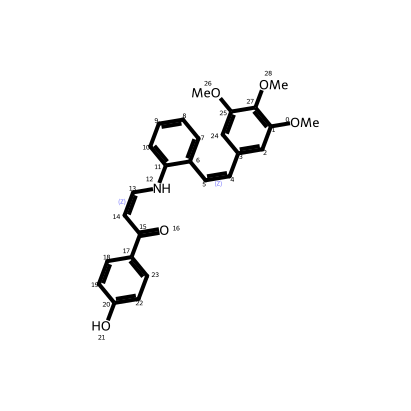 COc1cc(/C=C\c2ccccc2N/C=C\C(=O)c2ccc(O)cc2)cc(OC)c1OC